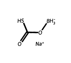 [BH3-]OC(=O)S.[Na+]